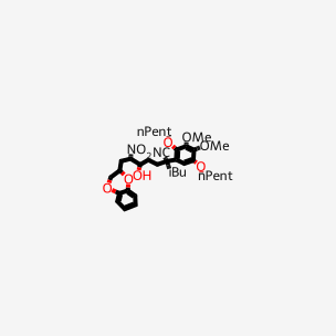 CCCCCOc1cc(C(C#N)(CCC(O)C(CC2COc3ccccc3O2)[N+](=O)[O-])C(C)CC)c(OCCCCC)c(OC)c1OC